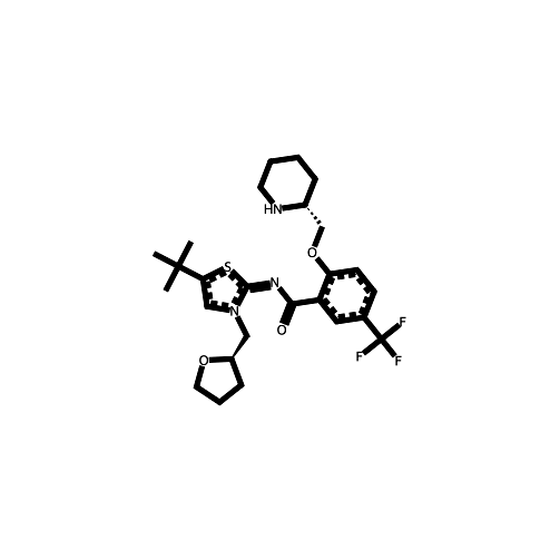 CC(C)(C)c1cn(C[C@H]2CCCO2)c(=NC(=O)c2cc(C(F)(F)F)ccc2OC[C@H]2CCCCN2)s1